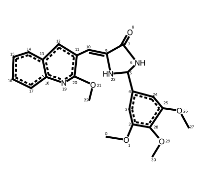 COc1cc(C2NC(=O)/C(=C/c3cc4ccccc4nc3OC)N2)cc(OC)c1OC